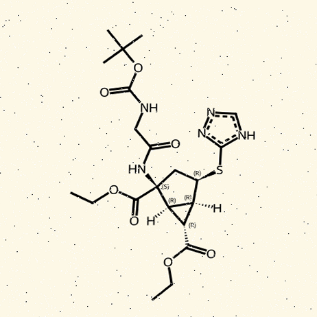 CCOC(=O)[C@H]1[C@H]2[C@@H]1[C@](NC(=O)CNC(=O)OC(C)(C)C)(C(=O)OCC)C[C@H]2Sc1nnc[nH]1